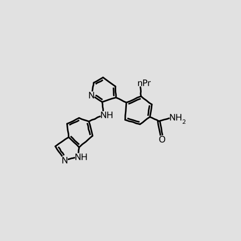 CCCc1cc(C(N)=O)ccc1-c1cccnc1Nc1ccc2cn[nH]c2c1